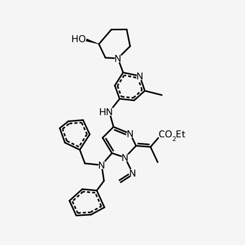 C=NN1C(N(Cc2ccccc2)Cc2ccccc2)=CC(Nc2cc(C)nc(N3CCC[C@H](O)C3)c2)=N/C1=C(/C)C(=O)OCC